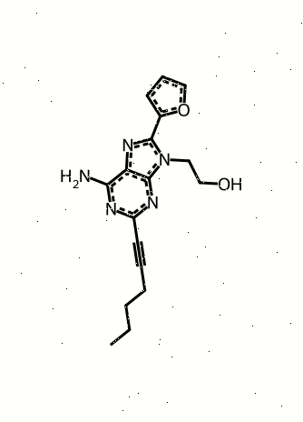 CCCCC#Cc1nc(N)c2nc(-c3ccco3)n(CCO)c2n1